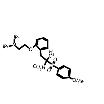 COc1ccc(S(=O)(=O)C(C)(Cc2ccccc2OCCN(C(C)C)C(C)C)C(=O)O)cc1